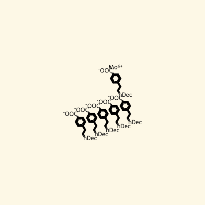 CCCCCCCCCCCCc1ccc(C(=O)[O-])cc1.CCCCCCCCCCCCc1ccc(C(=O)[O-])cc1.CCCCCCCCCCCCc1ccc(C(=O)[O-])cc1.CCCCCCCCCCCCc1ccc(C(=O)[O-])cc1.CCCCCCCCCCCCc1ccc(C(=O)[O-])cc1.CCCCCCCCCCCCc1ccc(C(=O)[O-])cc1.[Mo+6]